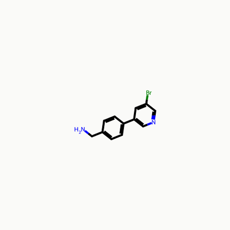 NCc1ccc(-c2cncc(Br)c2)cc1